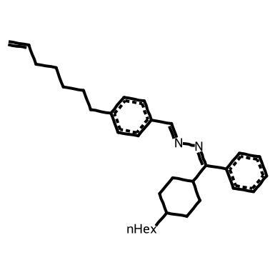 C=CCCCCCc1ccc(C=NN=C(c2ccccc2)C2CCC(CCCCCC)CC2)cc1